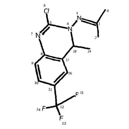 CC(C)=NN1C(Cl)=Nc2ccc(C(F)(F)F)cc2C1C